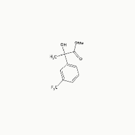 COC(=O)C(C)(O)c1cccc(C(F)(F)F)c1